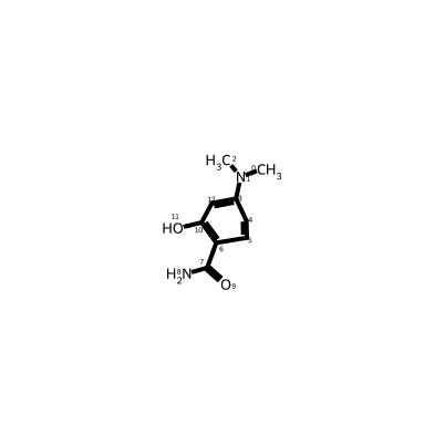 CN(C)c1ccc(C(N)=O)c(O)c1